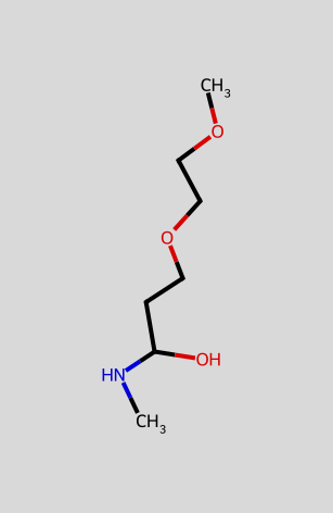 CNC(O)CCOCCOC